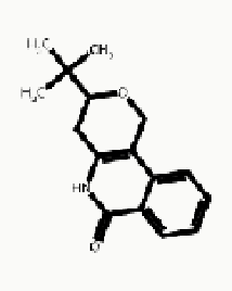 CC(C)(C)C1Cc2[nH]c(=O)c3ccccc3c2CO1